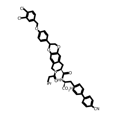 CC(C)CC(=O)N1Cc2cc3c(cc2C[C@H]1C(=O)N[C@@H](Cc1ccc(-c2ccc(C#N)cc2)cc1)C(=O)O)OCC(c1ccc(OCc2ccc(Cl)c(Cl)c2)cc1)O3